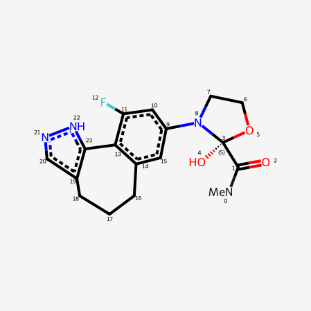 CNC(=O)[C@]1(O)OCCN1c1cc(F)c2c(c1)CCCc1cn[nH]c1-2